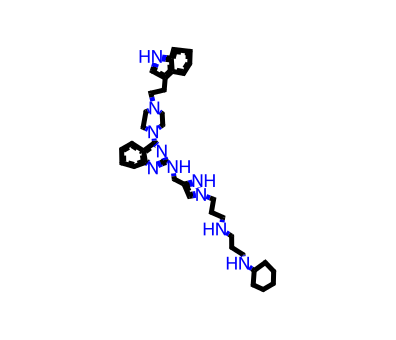 c1ccc2c(N3CCN(CCc4c[nH]c5ccccc45)CC3)nc(NCc3cn(CCCNCCCNC4CCCCC4)[nH]3)nc2c1